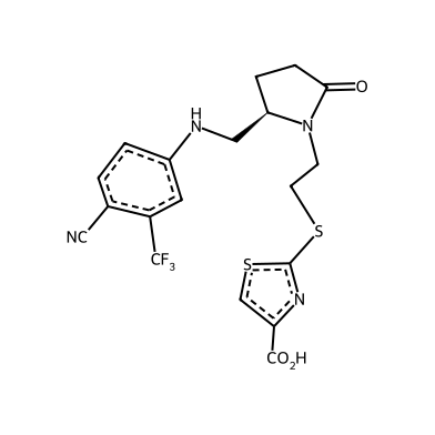 N#Cc1ccc(NC[C@H]2CCC(=O)N2CCSc2nc(C(=O)O)cs2)cc1C(F)(F)F